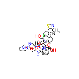 Cc1ncsc1-c1ccc([C@H](CO)NC(=O)[C@@H]2C[C@@H](O)CN2C(=O)[C@@H](NC(=O)COCCN2C3CCC2CN(c2ccc(C(=O)NC4C(C)(C)C(Oc5ccc(C#N)c(Cl)c5)C4(C)C)cn2)C3)C(C)(C)C)cc1